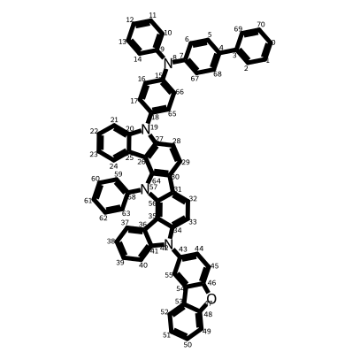 c1ccc(-c2ccc(N(c3ccccc3)c3ccc(-n4c5ccccc5c5c4ccc4c6ccc7c(c8ccccc8n7-c7ccc8oc9ccccc9c8c7)c6n(-c6ccccc6)c45)cc3)cc2)cc1